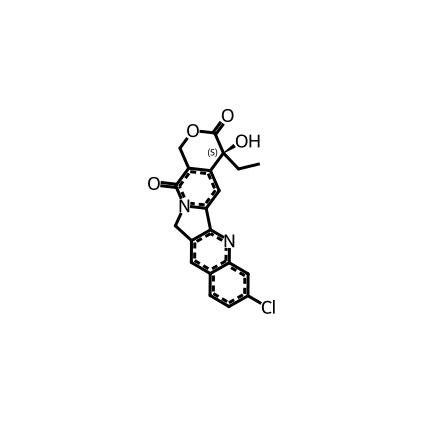 CC[C@@]1(O)C(=O)OCc2c1cc1n(c2=O)Cc2cc3ccc(Cl)cc3nc2-1